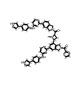 CN1C(C(=O)N2Cc3ccc(-c4nccc(Nc5ccc(-c6cn[nH]c6)cc5)n4)cc3C2)CC1c1cc(-c2nccc(Nc3ccc(-c4cn[nH]c4)cc3)n2)cc2c1CN(C(=O)c1nccs1)C2